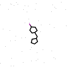 IC1CCC(CC2CCCC2)CC1